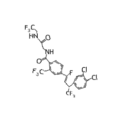 O=C(CNC(=O)c1ccc(C(F)=CC(c2ccc(Cl)c(Cl)c2)C(F)(F)F)cc1C(F)(F)F)NCC(F)(F)F